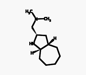 CN(C)C[C@@H]1C[C@@H]2CCCCC[C@H]2N1